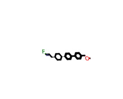 COCc1ccc(-c2ccc([C@H]3CC[C@H](C/C=C/F)CC3)cc2)cc1